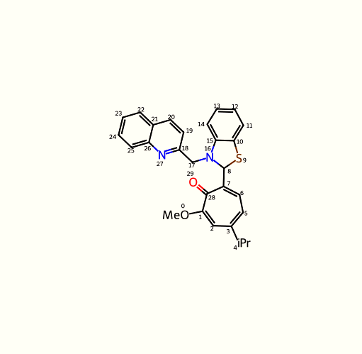 COc1cc(C(C)C)ccc(C2Sc3ccccc3N2Cc2ccc3ccccc3n2)c1=O